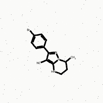 CC1CCNc2c(C#N)c(-c3ccc(Br)cc3)nn21